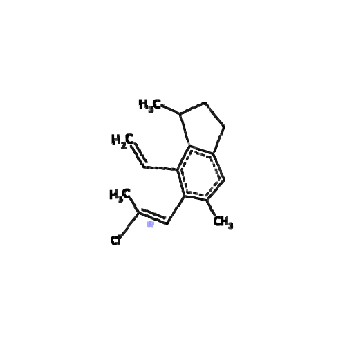 C=Cc1c(/C=C(\C)Cl)c(C)cc2c1C(C)CC2